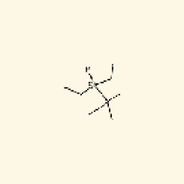 CC[Si](F)(CC)C(C)(C)C